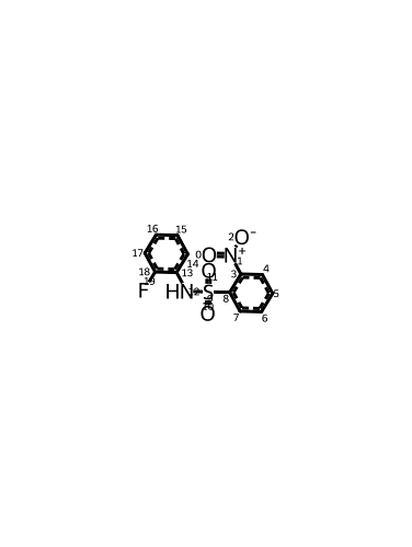 O=[N+]([O-])c1ccccc1S(=O)(=O)Nc1ccccc1F